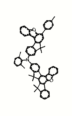 Cc1ccc(-c2cc3c(c4c2oc2ccccc24)-c2ccc(N(c4ccc5c(c4)C(C)(C)c4c6c(c7oc8ccccc8c7c4-5)-c4ccccc4C6(C)C)c4c(C)cccc4C)cc2C3(C)C)cc1